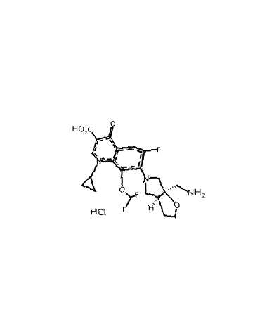 Cl.NC[C@@]12CN(c3c(F)cc4c(=O)c(C(=O)O)cn(C5CC5)c4c3OC(F)F)C[C@@H]1CCO2